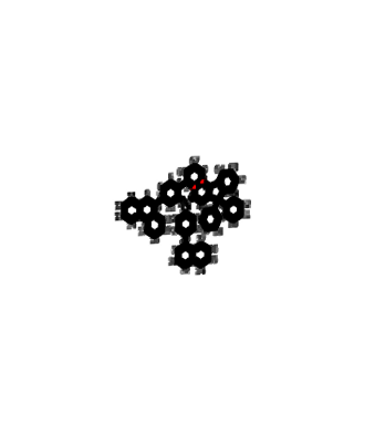 c1ccc(-c2ccc(-c3cc4ccccc4c4ccccc34)cc2N(c2ccc(-c3cccc4ccccc34)cc2)c2ccc3c(c2)C(c2ccccc2)(c2ccccc2)c2ccccc2-3)cc1